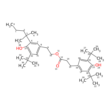 CCCC(C)(C)c1cc(CCOC(=O)CCc2cc(C(C)(C)C)c(O)c(C(C)(C)C)c2)cc(C(C)(C)C)c1O